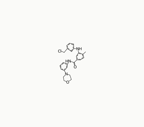 Cc1ccc(C(=O)Nc2cccc(N3CCOCC3)c2)cc1Nc1cccc(CCl)c1